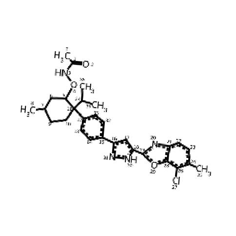 CC(=O)NOC1CC(C)CCC1(c1ccc(-c2cc(-c3nc4ccc(C)c(Cl)c4o3)[nH]n2)cc1)C(C)C